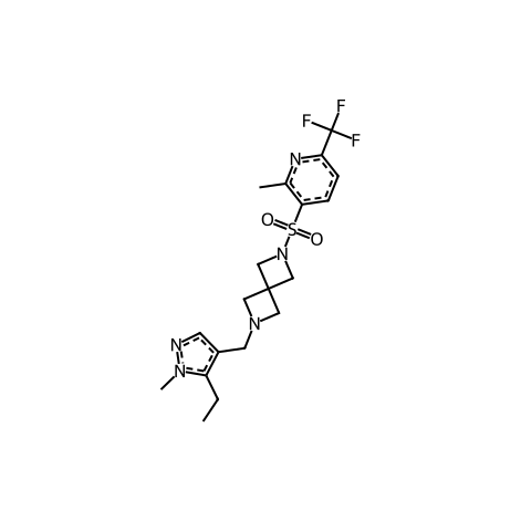 CCc1c(CN2CC3(C2)CN(S(=O)(=O)c2ccc(C(F)(F)F)nc2C)C3)cnn1C